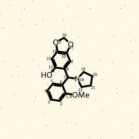 COc1ccccc1C(c1cc2c(cc1O)OCO2)N1CCCC1